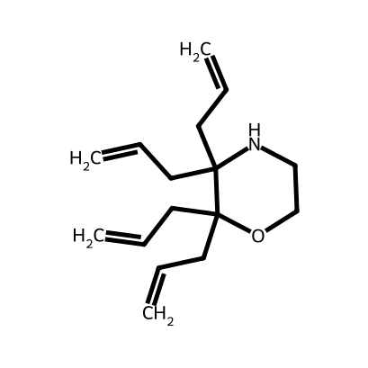 C=CCC1(CC=C)NCCOC1(CC=C)CC=C